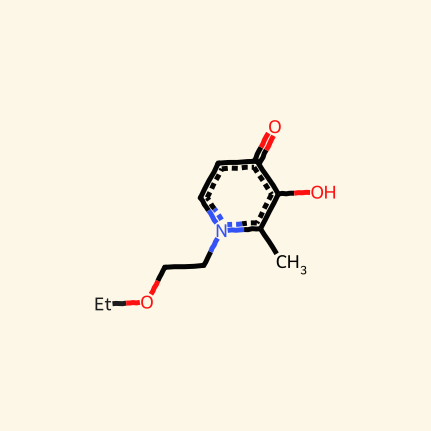 CCOCCn1ccc(=O)c(O)c1C